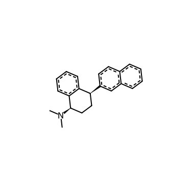 CN(C)[C@@H]1CC[C@H](c2ccc3ccccc3c2)c2ccccc21